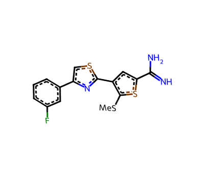 CSc1sc(C(=N)N)cc1-c1nc(-c2cccc(F)c2)cs1